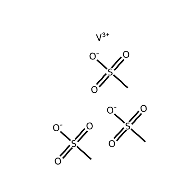 CS(=O)(=O)[O-].CS(=O)(=O)[O-].CS(=O)(=O)[O-].[V+3]